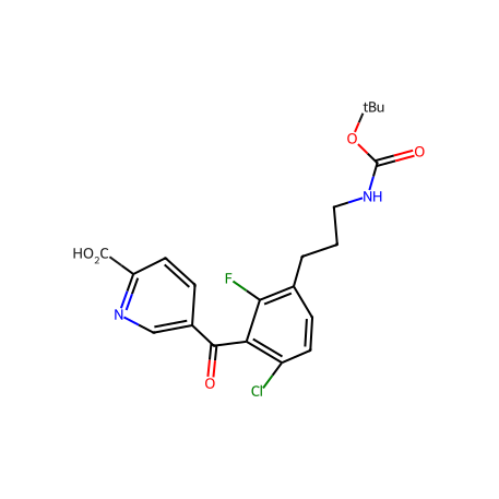 CC(C)(C)OC(=O)NCCCc1ccc(Cl)c(C(=O)c2ccc(C(=O)O)nc2)c1F